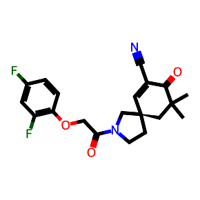 CC1(C)C[C@@]2(C=C(C#N)C1=O)CCN(C(=O)COc1ccc(F)cc1F)C2